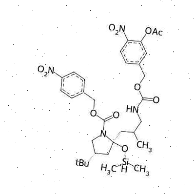 CC(=O)Oc1cc(COC(=O)NCC(C)C[C@]2(O[SiH](C)C)C[C@H](C(C)(C)C)CN2C(=O)OCc2ccc([N+](=O)[O-])cc2)ccc1[N+](=O)[O-]